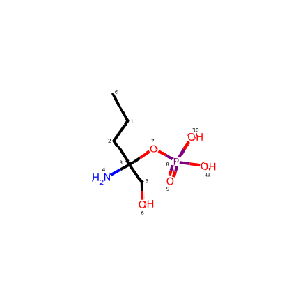 CCCC(N)(CO)OP(=O)(O)O